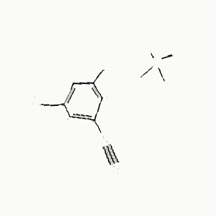 F[B-](F)(F)F.N#[N+]c1cc(Cl)cc(Cl)c1